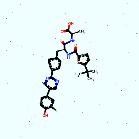 C[C@@H](NC(=O)[C@H](Cc1ccc(-c2ncc(-c3ccc(O)c(F)c3)cn2)cc1)NC(=O)c1ccc(C(C)(C)C)s1)C(=O)O